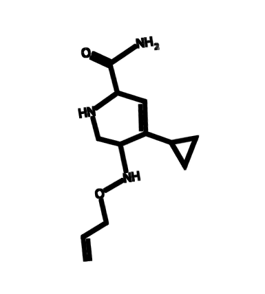 C=CCONC1CNC(C(N)=O)C=C1C1CC1